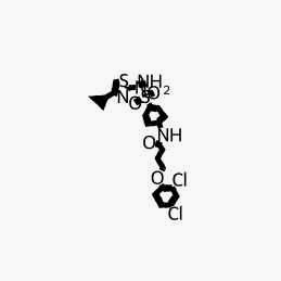 NN(c1nc(C2CC2)cs1)S(=O)(=O)c1ccc(NC(=O)CCCOc2ccc(Cl)cc2Cl)cc1